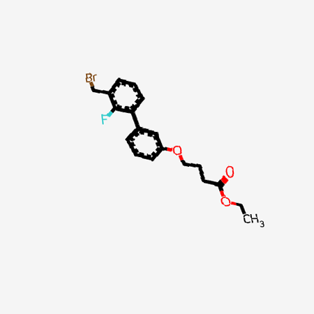 CCOC(=O)CCCOc1cccc(-c2cccc(CBr)c2F)c1